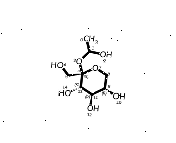 CC(O)O[C@]1(CO)OC[C@@H](O)[C@@H](O)[C@@H]1O